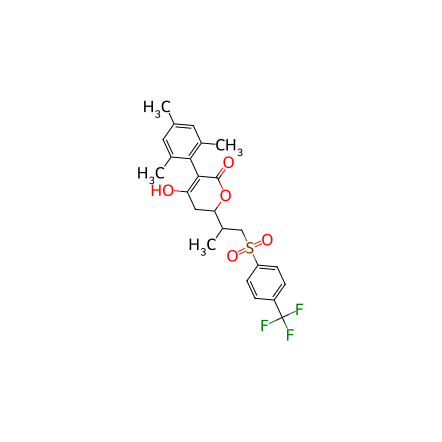 Cc1cc(C)c(C2=C(O)CC(C(C)CS(=O)(=O)c3ccc(C(F)(F)F)cc3)OC2=O)c(C)c1